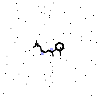 C/C(=C\C=C/CN(C)C)c1ccccc1C